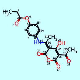 CCC(=O)Oc1ccc(NC(C)=C2C(=O)OC(=O)C(C(C)=O)=C2O)cc1